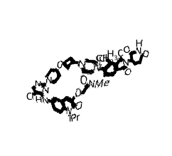 CNC(=O)COc1cc2cc(Nc3nc(N4CCC(OC5CC(N6CCN(c7ccc8c(c7Cl)[C@@H](C)N(C7CCC(=O)NC7=O)C8=O)[C@H](C)C6)C5)CC4)ncc3Cl)ccc2n(C(C)C)c1=O